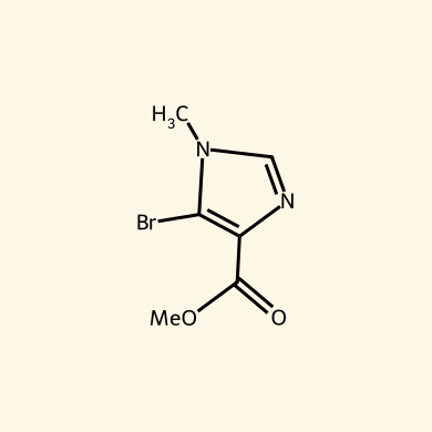 COC(=O)c1ncn(C)c1Br